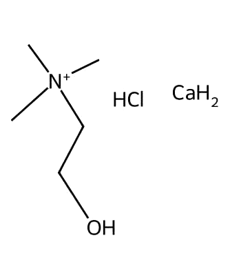 C[N+](C)(C)CCO.Cl.[CaH2]